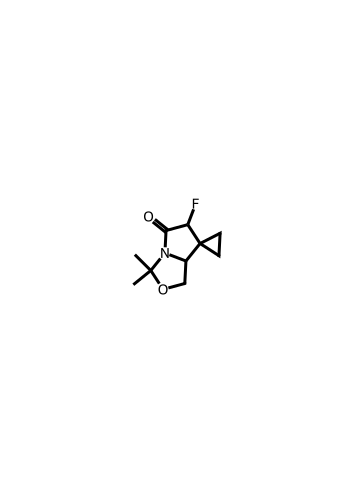 CC1(C)OCC2N1C(=O)C(F)C21CC1